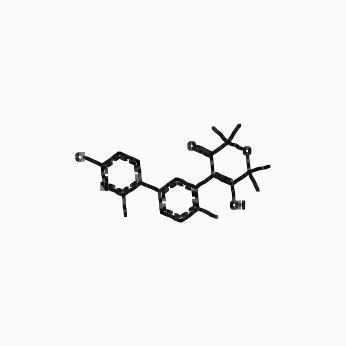 Cc1ccc(-c2ccc(Cl)nc2C)cc1C1=C(O)C(C)(C)OC(C)(C)C1=O